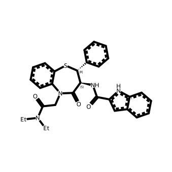 CCN(CC)C(=O)CN1C(=O)[C@H](NC(=O)c2cc3ccccc3[nH]2)[C@@H](c2ccccc2)Sc2ccccc21